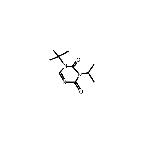 CC(C)n1c(=O)ncn(C(C)(C)C)c1=O